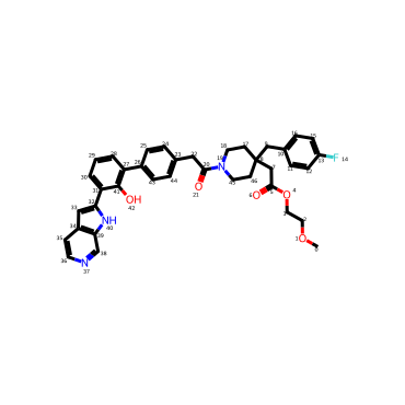 COCCOC(=O)CC1(Cc2ccc(F)cc2)CCN(C(=O)Cc2ccc(-c3cccc(-c4cc5ccncc5[nH]4)c3O)cc2)CC1